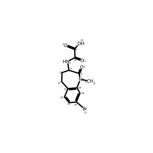 CN1C(=O)C(NC(=O)C(=O)O)CCc2ccc(Br)cc21